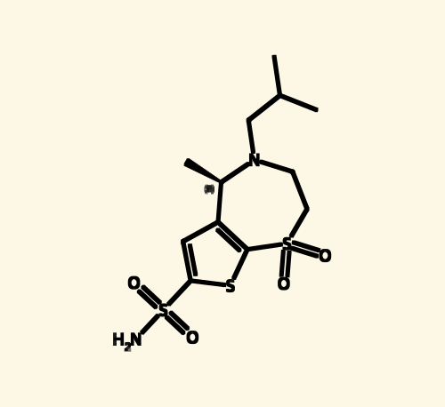 CC(C)CN1CCS(=O)(=O)c2sc(S(N)(=O)=O)cc2[C@H]1C